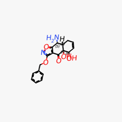 N[C@@H]1c2onc(OCc3ccccc3)c2C(=O)[C@@]2(O)[C@H](O)C=CC[C@@H]12